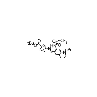 CCCN1CCCc2cc(N=Nc3nnc(C(=O)OC(C)(C)C)s3)c(NS(=O)(=O)CC(F)(F)F)cc21